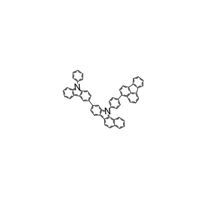 c1ccc(-n2c3ccccc3c3cc(-c4ccc5c6ccc7ccccc7c6n(-c6ccc(-c7ccc8c9c(cccc79)-c7ccccc7-8)cc6)c5c4)ccc32)cc1